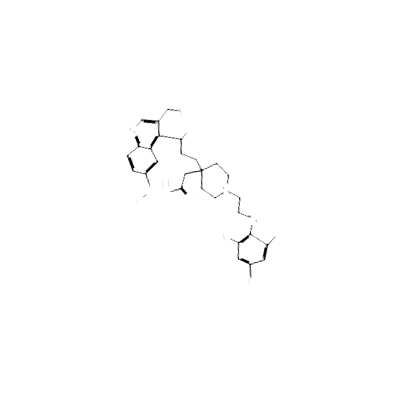 COc1ccc2ncc(CF)c(C(F)CCC3(CC(=O)O)CCN(CCNc4c(F)cc(F)cc4F)CC3)c2c1